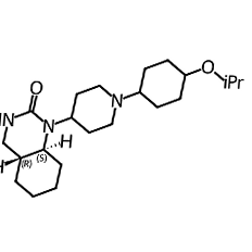 CC(C)OC1CCC(N2CCC(N3C(=O)NC[C@H]4CCCC[C@@H]43)CC2)CC1